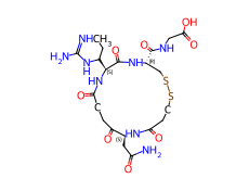 CCC(NC(=N)N)[C@@H]1NC(=O)CCC(=O)[C@H](CC(N)=O)NC(=O)CCSSC[C@@H](C(=O)NCC(=O)O)NC1=O